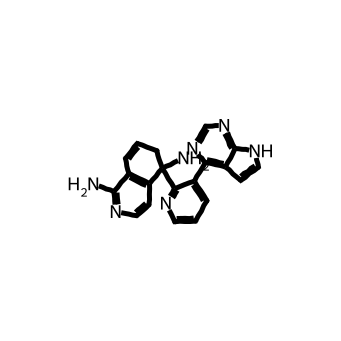 Nc1nccc2c1C=CCC2(N)c1ncccc1-c1ncnc2[nH]ccc12